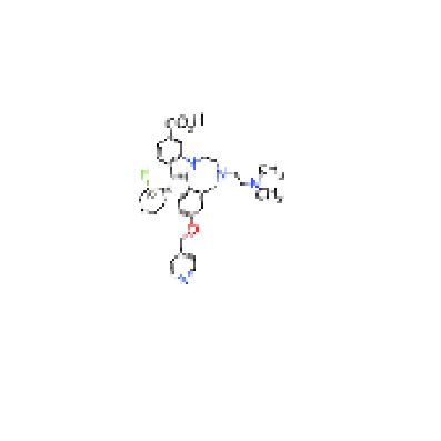 CN(C)CCN1CCn2c(c([C@@H]3CCCC[C@H]3F)c3ccc(C(=O)O)cc32)-c2ccc(OCc3ccncc3)cc2C1